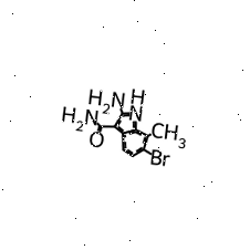 Cc1c(Br)ccc2c(C(N)=O)c(N)[nH]c12